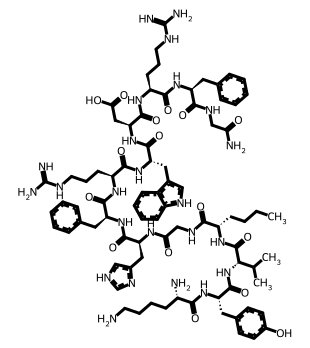 CCCC[C@H](NC(=O)[C@@H](NC(=O)[C@H](Cc1ccc(O)cc1)NC(=O)[C@@H](N)CCCCN)C(C)C)C(=O)NCC(=O)N[C@@H](Cc1c[nH]cn1)C(=O)N[C@@H](Cc1ccccc1)C(=O)N[C@@H](CCCNC(=N)N)C(=O)N[C@@H](Cc1c[nH]c2ccccc12)C(=O)N[C@@H](CC(=O)O)C(=O)N[C@@H](CCCNC(=N)N)C(=O)N[C@@H](Cc1ccccc1)C(=O)NCC(N)=O